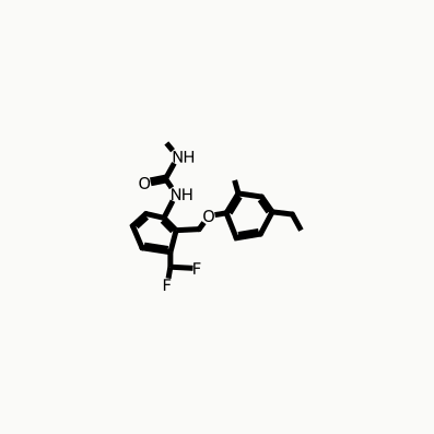 CCc1ccc(OCc2c(NC(=O)NC)cccc2C(F)F)c(C)c1